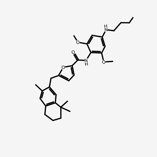 CCCCNc1cc(OC)c(NC(=O)c2ccc(Cc3cc4c(cc3C)CCCC4(C)C)o2)c(OC)c1